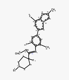 CCN1CCC(F)(/C(=N/c2c(C)cc(-c3cc(F)c4nc(C)cn4c3)cc2F)NC=O)CC1